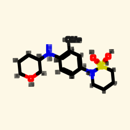 COc1cc(N2CCCCS2(=O)=O)ccc1NC1CCCOC1